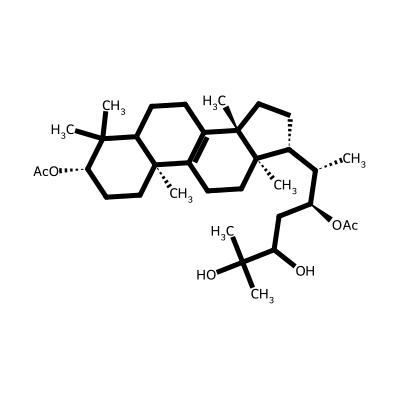 CC(=O)O[C@@H](CC(O)C(C)(C)O)[C@@H](C)[C@H]1CC[C@@]2(C)C3=C(CC[C@]12C)[C@@]1(C)CC[C@H](OC(C)=O)C(C)(C)C1CC3